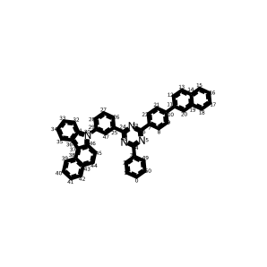 c1ccc(-c2nc(-c3ccc(-c4ccc5ccccc5c4)cc3)nc(-c3cccc(-n4c5ccccc5c5c6ccccc6ccc54)c3)n2)cc1